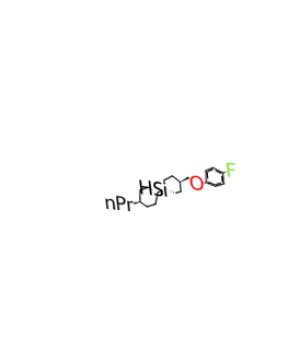 CCC[C@H]1CC[C@H]([Si@H]2CC[C@H](COc3ccc(F)cc3)CC2)CC1